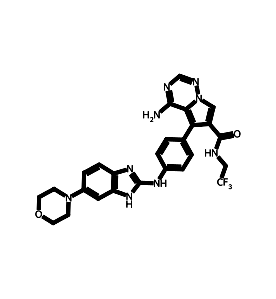 Nc1ncnn2cc(C(=O)NCC(F)(F)F)c(-c3ccc(Nc4nc5ccc(N6CCOCC6)cc5[nH]4)cc3)c12